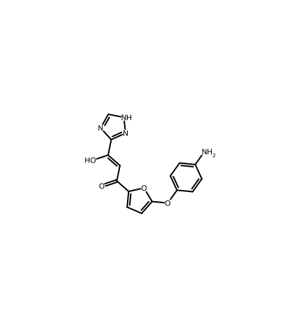 Nc1ccc(Oc2ccc(C(=O)C=C(O)c3nc[nH]n3)o2)cc1